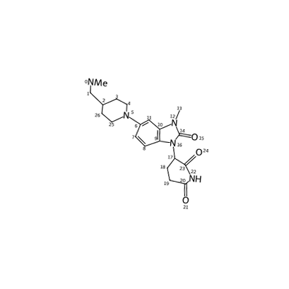 CNCC1CCN(c2ccc3c(c2)n(C)c(=O)n3C2CCC(=O)NC2=O)CC1